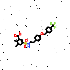 COC(=O)c1cc(S(=O)(=O)NCCc2ccc(OCc3ccc(C(F)(F)F)cc3)cc2)cc(C)c1C